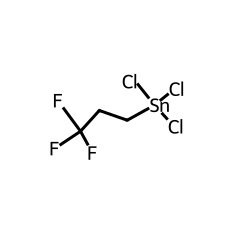 FC(F)(F)C[CH2][Sn]([Cl])([Cl])[Cl]